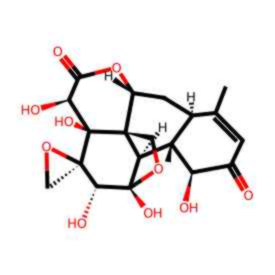 CC1=CC(=O)[C@@H](O)[C@]2(C)[C@H]3[C@]4(O)OC[C@@]35[C@@H](C[C@@H]12)OC(=O)[C@H](O)[C@@]5(O)[C@@]1(CO1)[C@H]4O